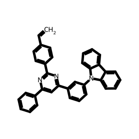 C=Cc1ccc(-c2nc(-c3ccccc3)cc(-c3cccc(-n4c5ccccc5c5ccccc54)c3)n2)cc1